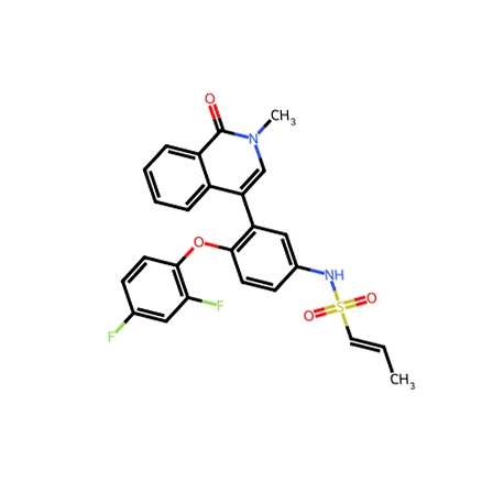 C/C=C/S(=O)(=O)Nc1ccc(Oc2ccc(F)cc2F)c(-c2cn(C)c(=O)c3ccccc23)c1